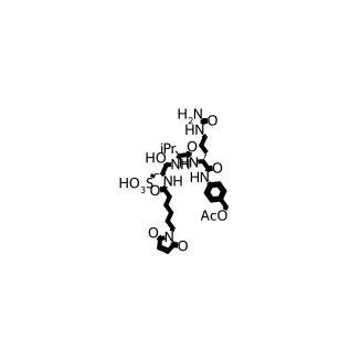 CC(=O)OCc1ccc(NC(=O)[C@@H](CCCNC(N)=O)NC(=O)[C@H](NC(O)[C@@H](CS(=O)(=O)O)NC(=O)CCCCCN2C(=O)C=CC2=O)C(C)C)cc1